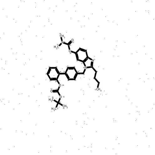 CCCCc1nc2ccc(OC(=O)N(C)C)cc2n1Cc1ccc(-c2ccccc2OC(=O)OC(C)(C)C)cc1